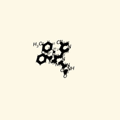 CC1CCCCC1(F)c1nc2nc(-c3n[nH]c(=O)o3)nc(-c3cncc(Cl)c3)c2n1C[C@H]1CC[C@H](C)CC1